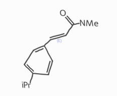 CNC(=O)/C=C/c1ccc(C(C)C)cc1